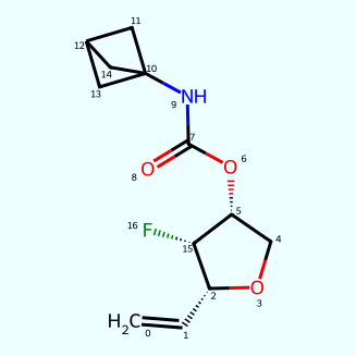 C=C[C@H]1OC[C@@H](OC(=O)NC23CC(C2)C3)[C@H]1F